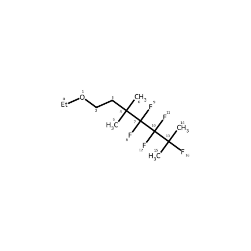 CCOCCC(C)(C)C(F)(F)C(F)(F)C(C)(C)F